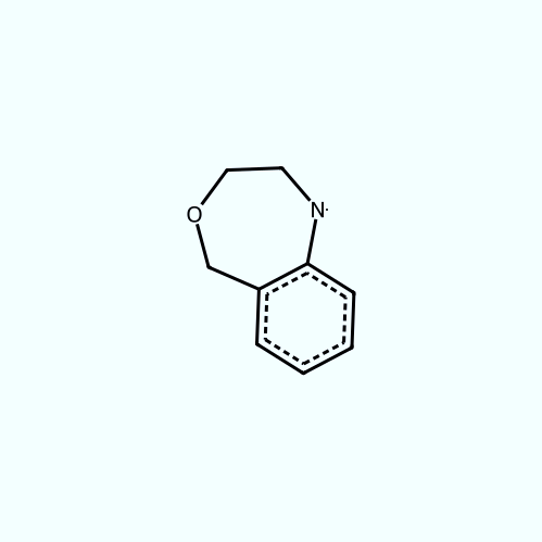 c1ccc2c(c1)COCC[N]2